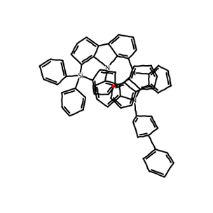 c1ccc(-c2ccc(-n3c4ccccc4c4c(-n5c6c(-n7c8ccccc8c8ccccc87)cccc6c6cccc([Si](c7ccccc7)(c7ccccc7)c7ccccc7)c65)cccc43)cc2)cc1